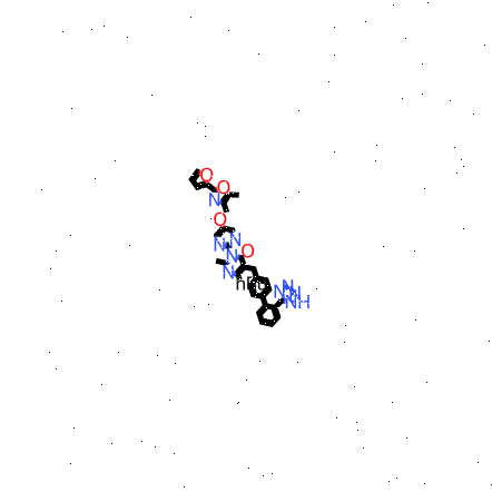 CCCCc1nc(C)n(-c2ncc(OCc3nc(-c4ccco4)oc3C)cn2)c(=O)c1Cc1ccc(-c2ccccc2-c2nnn[nH]2)cc1